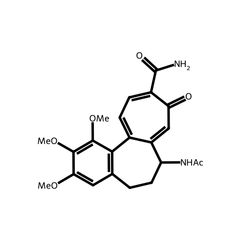 COc1cc2c(c(OC)c1OC)-c1ccc(C(N)=O)c(=O)cc1C(NC(C)=O)CC2